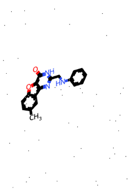 Cc1ccc2oc3c(=O)[nH]c(CNc4ccccc4)nc3c2c1